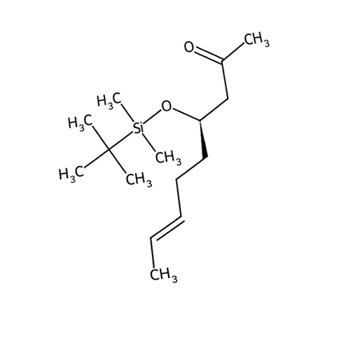 C/C=C/CC[C@H](CC(C)=O)O[Si](C)(C)C(C)(C)C